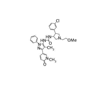 COCCN1CC(NC(=O)Nc2c(C)c(-c3ccc(=O)n(C)c3)nn2-c2ccccc2)C(c2cccc(Cl)c2)C1